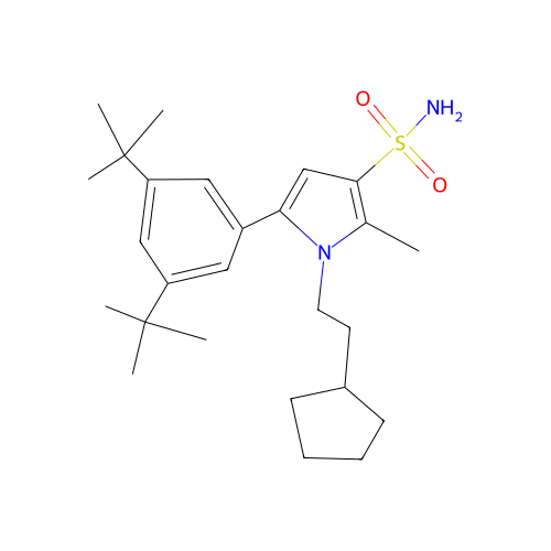 Cc1c(S(N)(=O)=O)cc(-c2cc(C(C)(C)C)cc(C(C)(C)C)c2)n1CCC1CCCC1